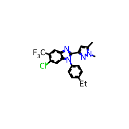 [CH2]Cc1ccc(-n2c(-c3cc(C)n(C)n3)nc3cc(C(F)(F)F)c(Cl)cc32)cc1